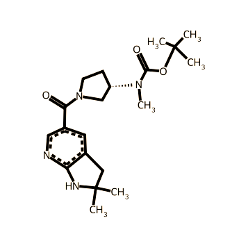 CN(C(=O)OC(C)(C)C)[C@H]1CCN(C(=O)c2cnc3c(c2)CC(C)(C)N3)C1